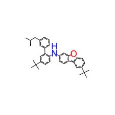 CC(C)Cc1cccc(-c2cc(C(C)(C)C)ccc2Nc2ccc3c(c2)oc2ccc(C(C)(C)C)cc23)c1